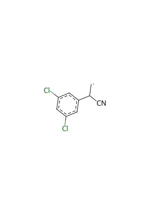 [CH2]C(C#N)c1cc(Cl)cc(Cl)c1